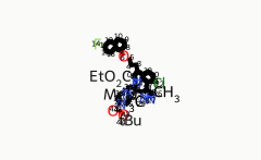 CCOC(=O)c1c(CCCOc2cccc3cc(F)ccc23)c2ccc(Cl)c(-c3c(C)nn(C)c3COC)c2n1CCN1CCN(C(=O)OC(C)(C)C)CC1